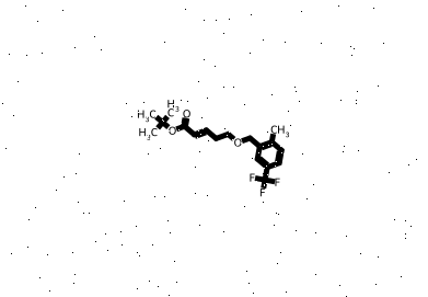 Cc1ccc(C(F)(F)F)cc1COCC/C=C/C(=O)OC(C)(C)C